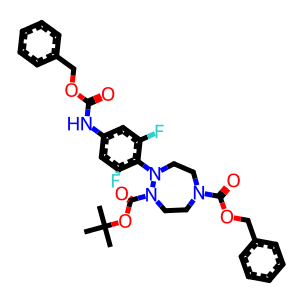 CC(C)(C)OC(=O)N1CCN(C(=O)OCc2ccccc2)CCN1c1c(F)cc(NC(=O)OCc2ccccc2)cc1F